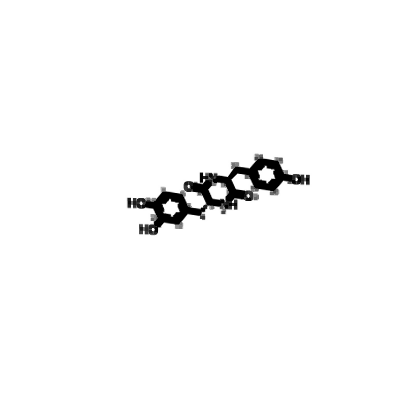 O=C1N[C@H](Cc2ccc(O)c(O)c2)C(=O)N[C@H]1Cc1ccc(O)cc1